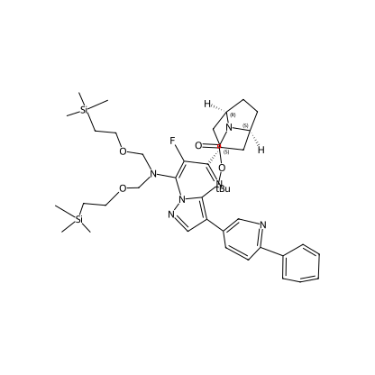 CC(C)(C)OC(=O)N1[C@@H]2CC[C@H]1C[C@H](c1nc3c(-c4ccc(-c5ccccc5)nc4)cnn3c(N(COCC[Si](C)(C)C)COCC[Si](C)(C)C)c1F)C2